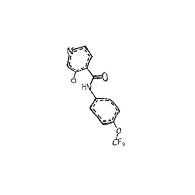 O=C(Nc1ccc(OC(F)(F)F)cc1)c1ccncc1Cl